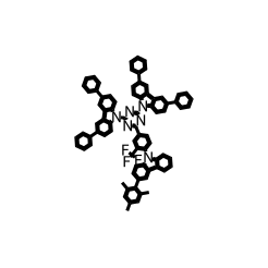 Cc1cc(C)c(-c2ccc3c(c2)c2ccccc2n3-c2ccc(-c3nc(-n4c5ccc(-c6ccccc6)cc5c5cc(-c6ccccc6)ccc54)nc(-n4c5ccc(-c6ccccc6)cc5c5cc(-c6ccccc6)ccc54)n3)cc2C(F)(F)F)c(C)c1